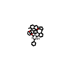 Cc1ccc2ccc3c(c2c1)Sc1c2c(cc4ccccc14)-c1cccc(c1-3)-c1cccc(C3=NC(C4=CC=CCC4)=NC(c4ccccc4)N3)c1-2